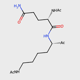 CC(=O)NCCCC[C@H](NC(=O)[C@H](CCC(N)=O)NC(C)=O)C(C)=O